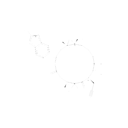 C#CC[C@H]1C(=O)C(C)(C)[C@@H](O)CC(=O)O[C@H](c2ccc3sc(C)nc3c2)C[C@@H]2O[C@]2(C)CCC[C@H](C)[C@@H]1O